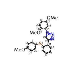 COc1ccc(Sc2ccccc2-c2cn(-c3cc(OC)ccc3OC)nn2)cc1